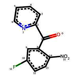 O=C(c1ccccn1)c1cc(F)ccc1[N+](=O)[O-]